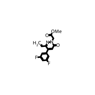 C=Cc1nn(CC(=O)OC)c(=O)cc1-c1cc(F)cc(F)c1